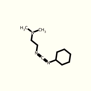 CN(C)CCN=C=NC1CCCCC1